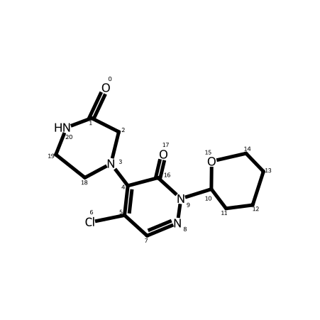 O=C1CN(c2c(Cl)cnn(C3CCCCO3)c2=O)CCN1